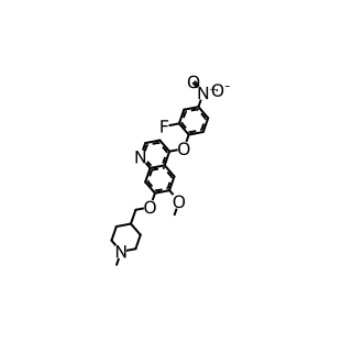 COc1cc2c(Oc3ccc([N+](=O)[O-])cc3F)ccnc2cc1OCC1CCN(C)CC1